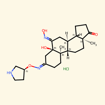 C[C@]12CC[C@H]3[C@@H](CC(=NO)[C@@]4(O)CC(=NO[C@H]5CCNC5)CC[C@]34C)[C@@H]1CCC2=O.Cl